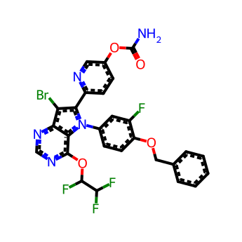 NC(=O)Oc1ccc(-c2c(Br)c3ncnc(OC(F)C(F)F)c3n2-c2ccc(OCc3ccccc3)c(F)c2)nc1